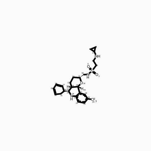 O=S(=O)(CCNC1CC1)NC[C@H]1CC[C@@H]2[C@H](O1)c1cc(C(F)(F)F)ccc1N[C@H]2C1C=CC=CC1